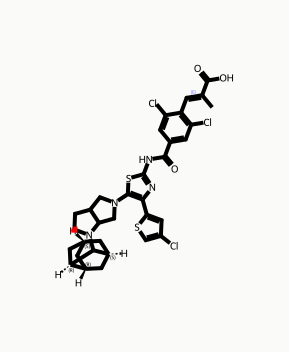 C/C(=C\c1c(Cl)cc(C(=O)Nc2nc(-c3cc(Cl)cs3)c(N3CC4CCN(C5[C@H]6C[C@@H]7C[C@H](C6)[C@H]5C7)C4C3)s2)cc1Cl)C(=O)O